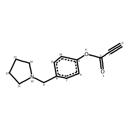 C#CC(=O)Oc1ccc(CN2CCCC2)cc1